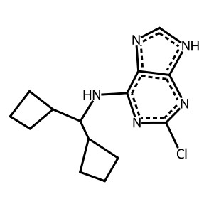 Clc1nc(NC(C2CCC2)C2CCC2)c2nc[nH]c2n1